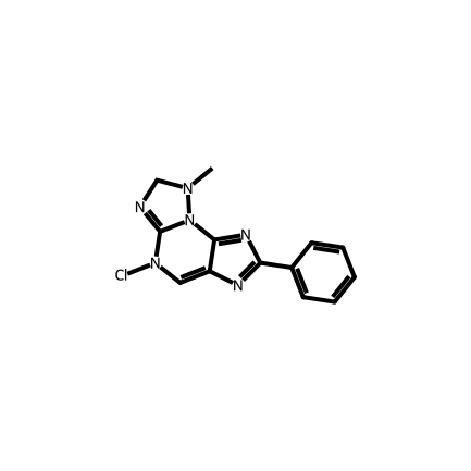 CN1CN=C2N(Cl)C=C3N=C(c4ccccc4)N=C3N21